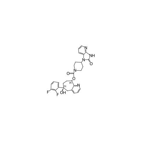 O=C(O[C@@H]1CC[C@@](O)(c2cccc(F)c2F)Cc2cccnc21)N1CCC(n2c(=O)[nH]c3ncccc32)CC1